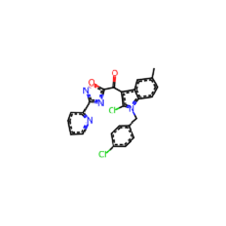 Cc1ccc2c(c1)c(C(=O)c1nc(-c3ccccn3)no1)c(Cl)n2Cc1ccc(Cl)cc1